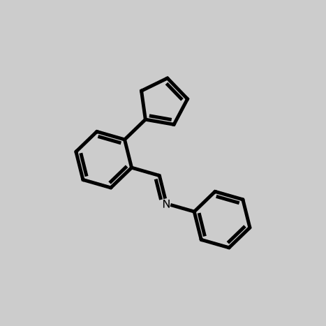 C1=CCC(c2ccccc2C=Nc2ccccc2)=C1